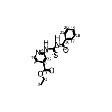 CCOC(=O)c1ccnc(NC(=S)NC(=O)c2ccccc2)c1